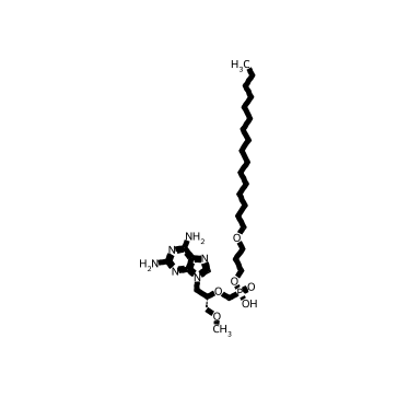 CCCCCCCCCCCCCCCCOCCCOP(=O)(O)CO[C@H](COC)Cn1cnc2c(N)nc(N)nc21